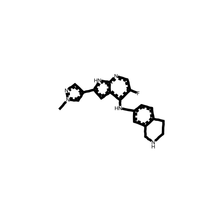 Cn1cc(-c2cc3c(Nc4ccc5c(c4)CNCC5)c(F)cnc3[nH]2)cn1